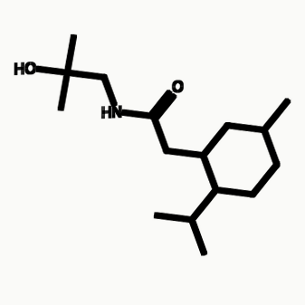 CC1CCC(C(C)C)C(CC(=O)NCC(C)(C)O)C1